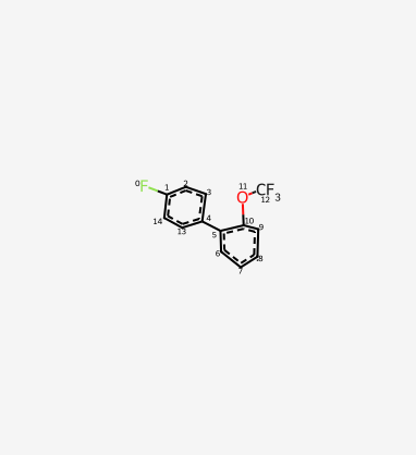 Fc1ccc(-c2cc[c]cc2OC(F)(F)F)cc1